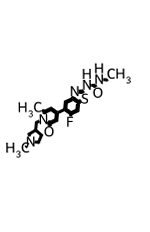 CCNC(=O)Nc1nc2cc(-c3cc(C)n(CC4CCN(C)C4)c(=O)c3)c(F)cc2s1